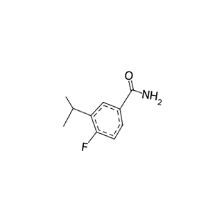 CC(C)c1cc(C(N)=O)ccc1F